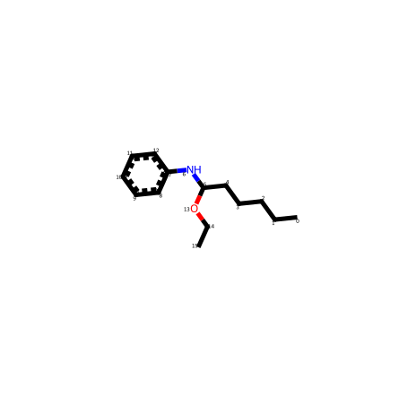 CCCCCC(Nc1ccccc1)OCC